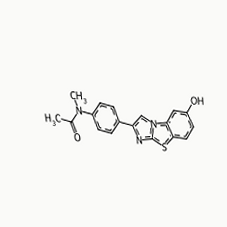 CC(=O)N(C)c1ccc(-c2cn3c(n2)sc2ccc(O)cc23)cc1